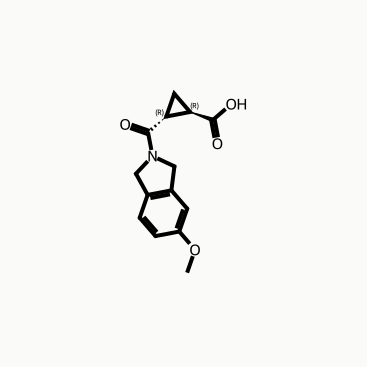 COc1ccc2c(c1)CN(C(=O)[C@@H]1C[C@H]1C(=O)O)C2